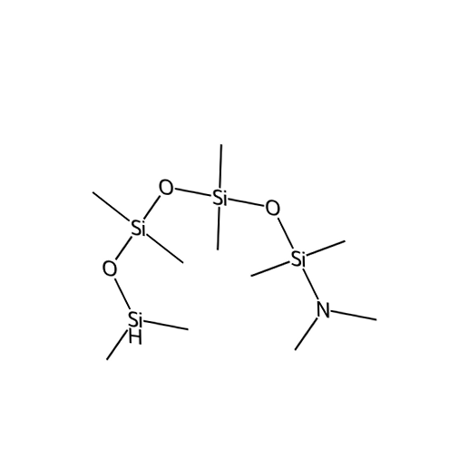 CN(C)[Si](C)(C)O[Si](C)(C)O[Si](C)(C)O[SiH](C)C